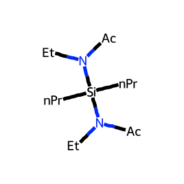 CCC[Si](CCC)(N(CC)C(C)=O)N(CC)C(C)=O